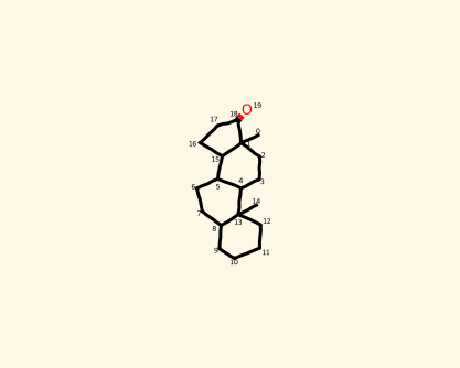 CC12CCC3C(CCC4CCCCC43C)C1CCC2=O